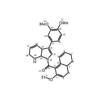 CCOC1=CCC2CCC=CC2=C1C(=O)N1C=C(c2ccc(OC)c(OC)c2)C2C=CCNC21